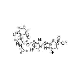 COC(=O)c1cc(F)c2nc(N3C[C@@H]4C[C@H]3C[C@H]4OCc3c(-c4c(Cl)cccc4Cl)cnn3C3CC3)sc2c1